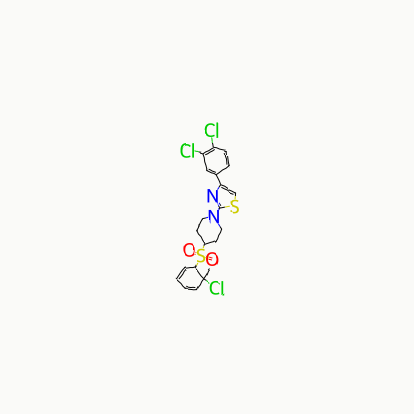 CC1(Cl)C=CC=CC1S(=O)(=O)C1CCN(c2nc(-c3ccc(Cl)c(Cl)c3)cs2)CC1